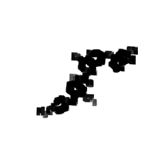 CCC1CN(C(=O)Nc2ccc(CN3CCN(C)CC3)c(C(F)(F)F)c2)Cc2cc(Oc3ccnc4[nH]c(C#N)cc34)cnc21